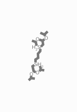 CC(C)OC(C[SiH2]CCCC[SiH2]CC(OC(C)C)OC(C)C)OC(C)C